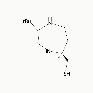 CC(C)(C)C1CN[C@H](CS)CCN1